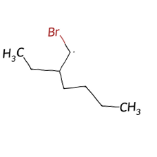 CCCCC([CH]Br)CC